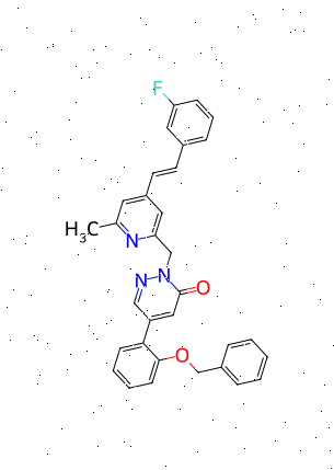 Cc1cc(C=Cc2cccc(F)c2)cc(Cn2ncc(-c3ccccc3OCc3ccccc3)cc2=O)n1